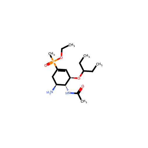 CCOP(C)(=O)C1=C[C@@H](OC(CC)CC)[C@H](NC(C)=O)[C@@H](N)C1